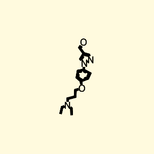 CCN(CC)CCCOc1ccc(-n2cc(C=O)cn2)cc1